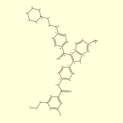 CCCc1cc(C)cc(C(=O)Oc2ccc(-c3sc4cc(O)ccc4c3C(=O)c3ccc(OCCN4CCCCC4)cc3)cc2)c1